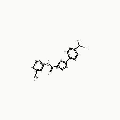 CC(C)c1ccc(-c2ccc(C(=O)Nc3cccc(O)c3)s2)cc1